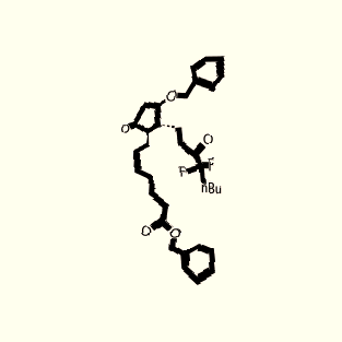 CCCCC(F)(F)C(=O)CC[C@H]1[C@H](OCc2ccccc2)CC(=O)[C@@H]1C/C=C\CCCC(=O)OCc1ccccc1